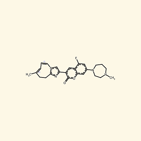 C/C1=C\C=C/n2cc(-c3cc4c(F)cc(N5CCCN(C)CC5)cc4oc3=O)nc2CC1